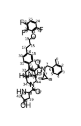 Cc1ccccc1CN(C(=O)C1=C(c2ccc(CCCOc3c(F)ccc(F)c3F)cc2)C[C@H]2CN(C(=O)C3C[C@@H](O)CN3)C[C@@H]1N2)C1CC1